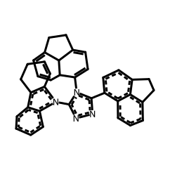 C1=CC2C(n3c(-c4ccc5c6c(cccc46)CC5)nnc3-n3c4c(c5ccccc53)CCC=C4)=CC=C3CCC(=C1)C32